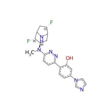 CN(c1ccc(-c2ccc(-n3ccnc3)cc2O)nn1)[C@@H]1CC2NC(C[C@@H]2F)[C@H]1F